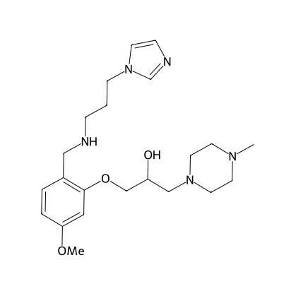 COc1ccc(CNCCCn2ccnc2)c(OCC(O)CN2CCN(C)CC2)c1